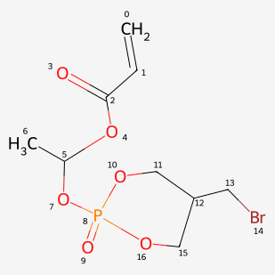 C=CC(=O)OC(C)OP1(=O)OCC(CBr)CO1